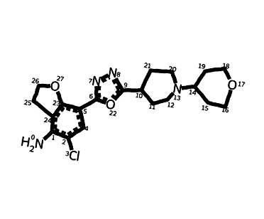 Nc1c(Cl)cc(-c2nnc(C3CCN(C4CCOCC4)CC3)o2)c2c1CCO2